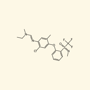 CCN(C)C=Nc1cc(C)c(Oc2ccccc2S(=O)(=NC)C(F)(F)F)cc1Cl